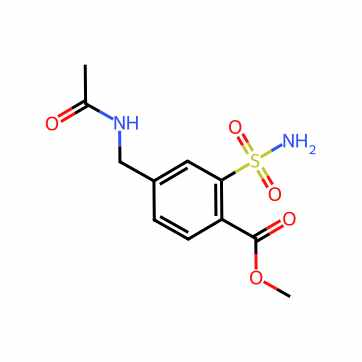 COC(=O)c1ccc(CNC(C)=O)cc1S(N)(=O)=O